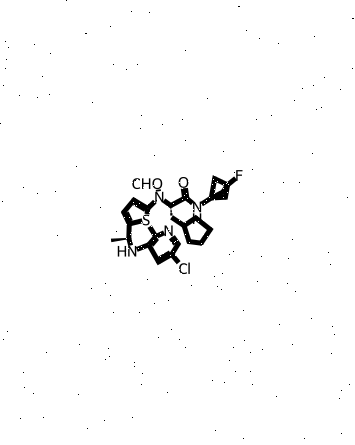 Cc1ncc(Cl)cc1N[C@@H](C)c1ccc(N(C=O)[C@@H](CC2CCCC2)C(=O)NC23CC(F)(C2)C3)s1